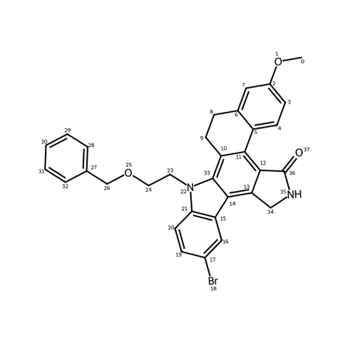 COc1ccc2c(c1)CCc1c-2c2c(c3c4cc(Br)ccc4n(CCOCc4ccccc4)c13)CNC2=O